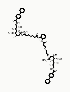 CC(=O)N[C@@H]1[C@H]([C@H](O)[C@@H](O)CNC(=O)c2ccc(-c3ccccc3)cc2)O[C@@](OCCCSCCC(=O)Nc2ccccc2NC(=O)CCSCCCO[C@]2(C(=O)O)C[C@H](O)[C@@H](NC(C)=O)[C@H]([C@H](O)[C@H](O)CNC(=O)c3ccc(-c4ccccc4)cc3)O2)(C(=O)O)C[C@H]1O